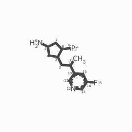 CC(CC1CC(N)CC1C(C)C)c1cncc(F)c1